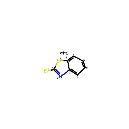 Sc1nc2ccccc2s1.[Fe]